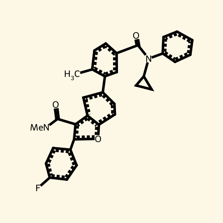 CNC(=O)c1c(-c2ccc(F)cc2)oc2ccc(-c3cc(C(=O)N(c4ccccc4)C4CC4)ccc3C)cc12